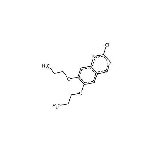 CCCOc1cc2cnc(Cl)nc2cc1OCCC